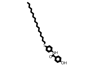 CCCCCCCCCCCCCCCCCCSc1ccc(NC(=O)c2ccc(O)cc2)cc1